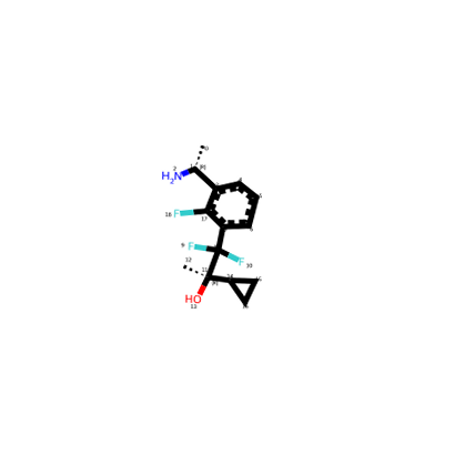 C[C@@H](N)c1cccc(C(F)(F)[C@](C)(O)C2CC2)c1F